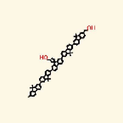 C=CC1(CCCO)c2cc(-c3ccc4c(c3)C(C)(C)c3cc(-c5ccc6c(c5)C(C)(C)c5cc(C)ccc5-6)ccc3-4)ccc2-c2ccc(-c3ccc4c(c3)C(C)(C)c3cc(-c5ccc6c(c5)C(C)(C)c5cc(CCO)ccc5-6)ccc3-4)cc21